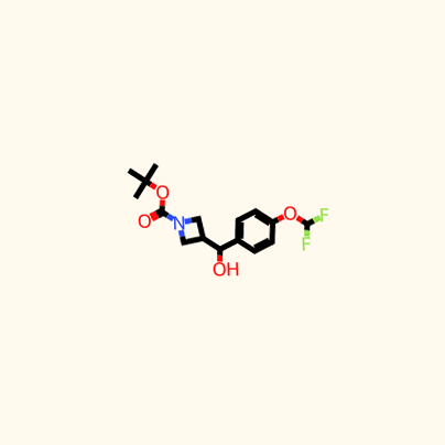 CC(C)(C)OC(=O)N1CC(C(O)c2ccc(OC(F)F)cc2)C1